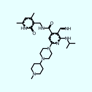 Cc1cc(C)c(CNC(=O)c2cc(N3CCN(C4CCN(C)CC4)CC3)nc(NC(C)C)c2C=N)c(=O)[nH]1